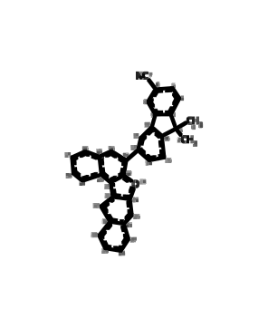 CC1(C)c2ccc(C#N)cc2-c2cc(-c3cc4ccccc4c4c3oc3cc5ccccc5cc34)ccc21